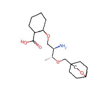 C[C@@H](OCC12CCC(CC1)OC2)[C@H](N)COC1CCCCC1C(=O)O